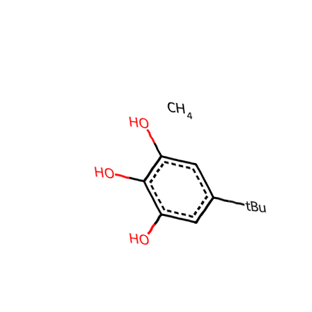 C.CC(C)(C)c1cc(O)c(O)c(O)c1